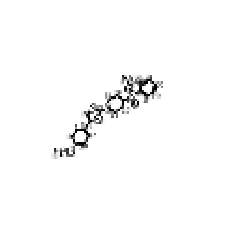 CCOc1ccc(-c2csc(N3CCC(S(=O)(=O)c4ccccc4C#N)CC3)n2)cc1